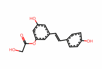 O=C(CO)Oc1cc(O)cc(/C=C/c2ccc(O)cc2)c1